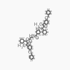 Cc1c(C(Nc2ccc(C(=O)NCCC(=O)OC(c3oc4ccc(OCc5ccccc5)cc4c3C)C3CCCCC3)cc2)C2CCCCC2)oc2ccc(OCc3ccccc3)cc12